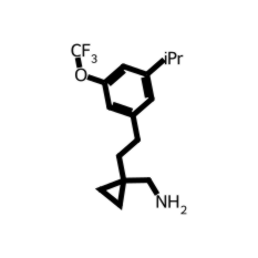 CC(C)c1cc(CCC2(CN)CC2)cc(OC(F)(F)F)c1